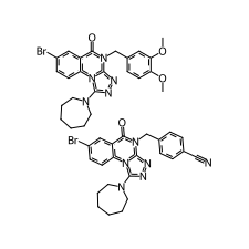 COc1ccc(Cn2c(=O)c3cc(Br)ccc3n3c(N4CCCCCC4)nnc23)cc1OC.N#Cc1ccc(Cn2c(=O)c3cc(Br)ccc3n3c(N4CCCCCC4)nnc23)cc1